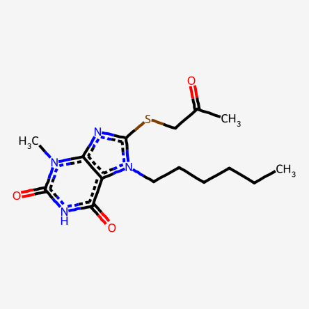 CCCCCCn1c(SCC(C)=O)nc2c1c(=O)[nH]c(=O)n2C